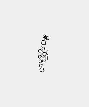 CC1=C(C(=O)OCc2ccc([N+](=O)[O-])cc2)N2C(=O)[C@H](OC(=O)COc3ccccc3)[C@H]2S1